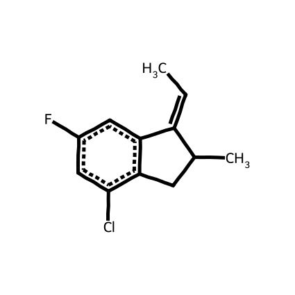 C/C=C1\c2cc(F)cc(Cl)c2CC1C